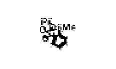 CSc1ccccc1S(=O)(=O)OC(C)C